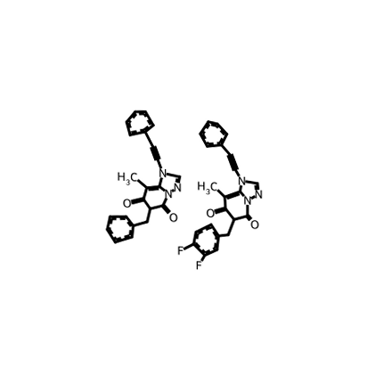 CC1=C2N(C#Cc3ccccc3)C=NN2C(=O)C(Cc2ccc(F)c(F)c2)C1=O.CC1=C2N(C#Cc3ccccc3)C=NN2C(=O)C(Cc2ccccc2)C1=O